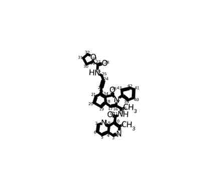 Cc1ncc2cccnc2c1C(=O)N[C@@H](C)c1cc2cccc(C#CCNC(=O)[C@H]3CCCO3)c2c(=O)n1-c1ccccc1